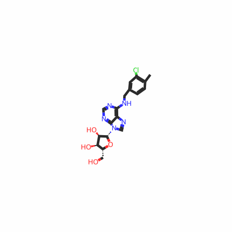 Cc1ccc(CNc2ncnc3c2ncn3[C@@H]2O[C@H](CO)[C@@H](O)[C@H]2O)cc1Cl